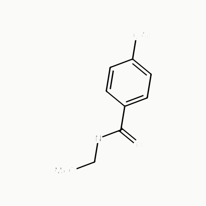 COCNC(=O)c1ccc(OC(C)=O)cc1